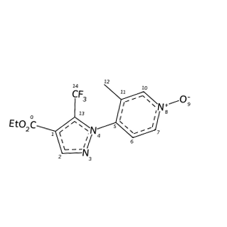 CCOC(=O)c1cnn(-c2cc[n+]([O-])cc2C)c1C(F)(F)F